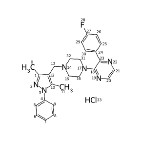 Cc1nn(-c2ccccc2)c(C)c1CN1CCN(c2nccnc2-c2ccc(F)cc2)CC1.Cl